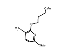 COCCCNc1nc(OC)ccc1[N+](=O)[O-]